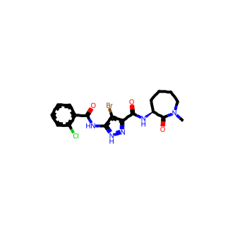 CN1CCCC[C@H](NC(=O)c2n[nH]c(NC(=O)c3ccccc3Cl)c2Br)C1=O